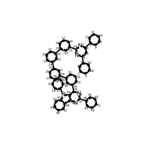 c1ccc(-c2cc(-c3ccccc3)nc(-c3cccc(-c4cccc(-c5cccc(-c6cccc(-c7nc(-c8ccccc8)nc8c9ccccc9n(-c9ccccc9)c78)c6)c5)c4)c3)n2)cc1